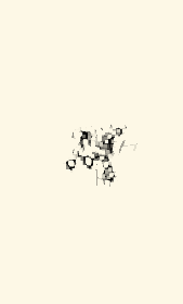 COC(=O)NCCOC(c1ccccc1)c1cccc(C(=O)NC(CC2CCCOC2)CN(C)C(=O)OC(C)(C)C)c1